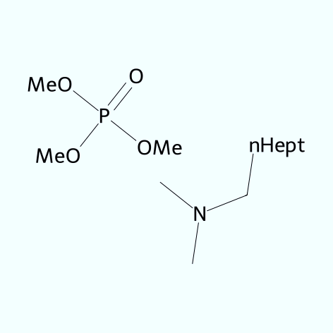 CCCCCCCCN(C)C.COP(=O)(OC)OC